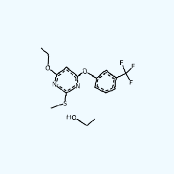 CCO.CCOc1cc(Oc2cccc(C(F)(F)F)c2)nc(SC)n1